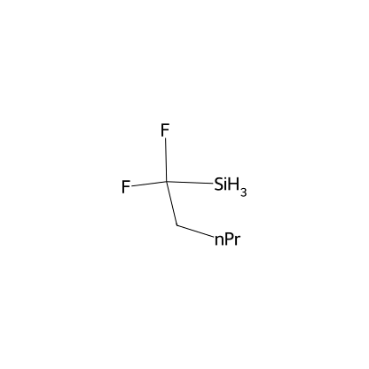 CCCCC(F)(F)[SiH3]